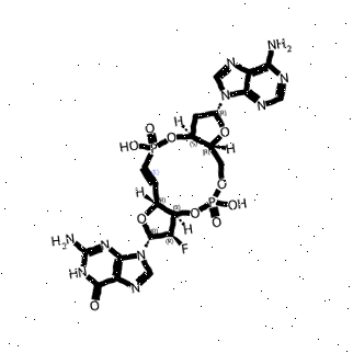 Nc1nc2c(ncn2[C@@H]2O[C@@H]3/C=C/P(=O)(O)O[C@H]4C[C@H](n5cnc6c(N)ncnc65)O[C@@H]4COP(=O)(O)O[C@H]3[C@H]2F)c(=O)[nH]1